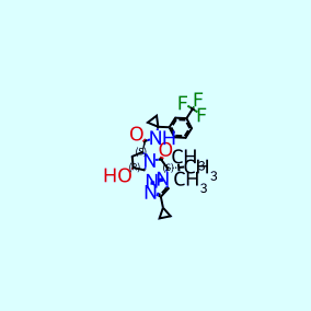 CC(C)(C)[C@@H](C(=O)N1C[C@H](O)C[C@H]1C(=O)NC1(c2cccc(C(F)(F)F)c2)CC1)n1cc(C2CC2)nn1